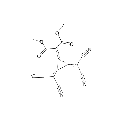 COC(=O)C(C(=O)OC)=C1C(=C(C#N)C#N)C1=C(C#N)C#N